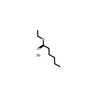 CCCCCC(=O)OCC.[Sb]